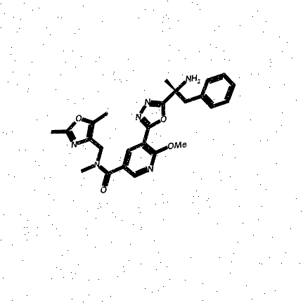 COc1ncc(C(=O)N(C)Cc2nc(C)oc2C)cc1-c1nnc([C@](C)(N)Cc2ccccc2)o1